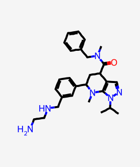 CC(C)n1ncc2c1N(C)C(c1cccc(CNCCN)c1)CC2C(=O)N(C)Cc1ccccc1